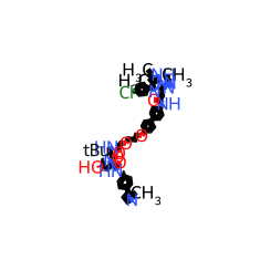 CC1=C(c2ccc(CNC(=O)[C@@H]3C[C@@H](O)CN3C(=O)C(NC(=O)COCCCOc3ccc(-c4ccc(NC(=O)CC5N=C(c6ccc(Cl)cc6)c6c([nH]c(C)c6C)-n6c(C)nnc65)cc4)cc3)C(C)(C)C)cc2)CC=N1